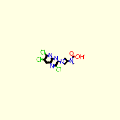 CN(C(=O)O)C1CN(c2nc3nc(Cl)c(Cl)cc3nc2Cl)C1